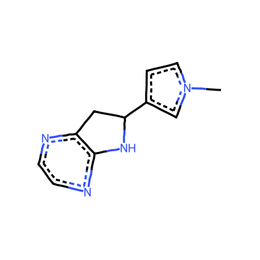 Cn1ccc(C2Cc3nccnc3N2)c1